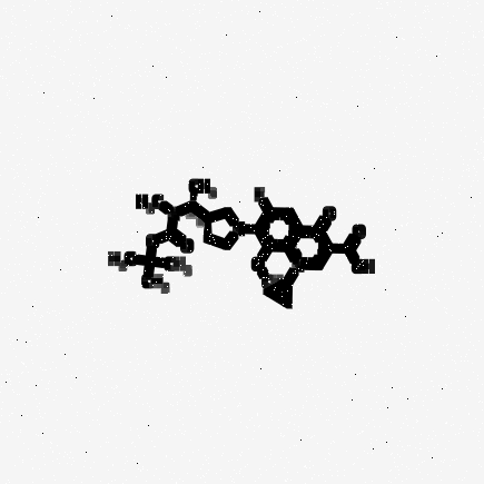 COc1c(N2CC[C@@H]([C@@H](C)N(C)C(=O)OC(C)(C)C)C2)c(F)cc2c(=O)c(C(=O)O)cn(C3CC3)c12